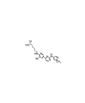 CC[C@H](O)CCCCCNc1ncc(-c2ccnc(Nc3cnn(C)c3)n2)cc1C#N